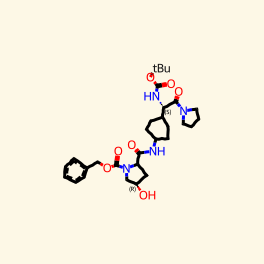 CC(C)(C)OC(=O)N[C@H](C(=O)N1CCCC1)C1CCC(NC(=O)C2C[C@@H](O)CN2C(=O)OCc2ccccc2)CC1